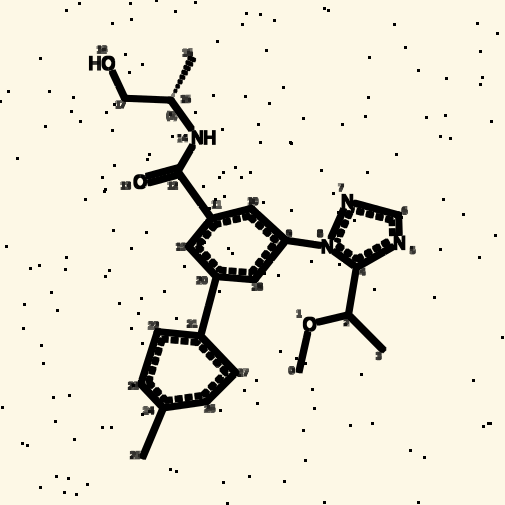 COC(C)c1ncnn1-c1cc(C(=O)N[C@@H](C)CO)cc(-c2ccc(C)cc2)c1